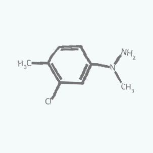 Cc1ccc(N(C)N)cc1Cl